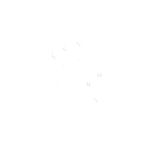 O=C(Nc1ccc2c(c1)S(=O)(=O)CC2)Nc1ncc(CCNc2ncnc3ccsc23)s1